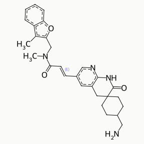 Cc1c(CN(C)C(=O)/C=C/c2cnc3c(c2)CC2(CCC(CN)CC2)C(=O)N3)oc2ccccc12